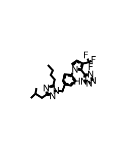 CCCCc1nc(CC(C)C)nn1Cc1ccc(-n2ccc(C(F)(F)F)c2-c2nnn[nH]2)cc1